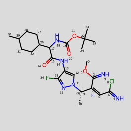 COC(=N)/C(=C\C(=N)Cl)[C@H](C)n1cc(NC(=O)C(NC(=O)OC(C)(C)C)C2CCC(C)CC2)c(F)n1